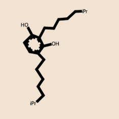 CC(C)CCCCCc1ccc(O)c(CCCCCC(C)C)c1O